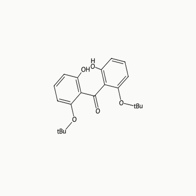 CC(C)(C)Oc1cccc(O)c1C(=O)c1c(O)cccc1OC(C)(C)C